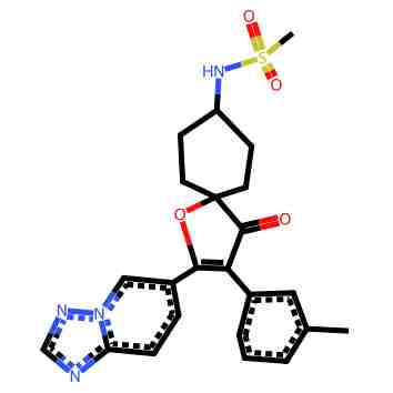 Cc1cccc(C2=C(c3ccc4ncnn4c3)OC3(CCC(NS(C)(=O)=O)CC3)C2=O)c1